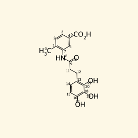 Cc1ccc(C(=O)O)cc1NC(=O)CCc1ccc(O)c(O)c1O